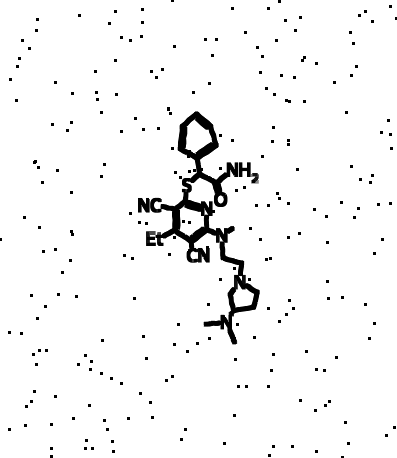 CCc1c(C#N)c(SC(C(N)=O)c2ccccc2)nc(N(C)CCN2CC[C@@H](N(C)C)C2)c1C#N